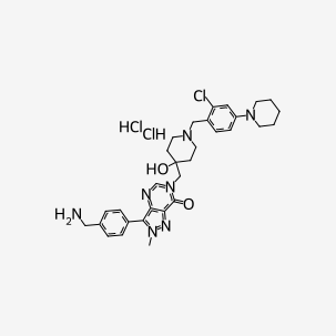 Cl.Cl.Cn1nc2c(=O)n(CC3(O)CCN(Cc4ccc(N5CCCCC5)cc4Cl)CC3)cnc2c1-c1ccc(CN)cc1